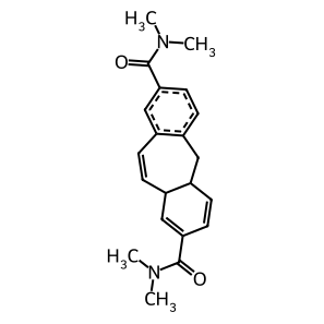 CN(C)C(=O)C1=CC2C=Cc3cc(C(=O)N(C)C)ccc3CC2C=C1